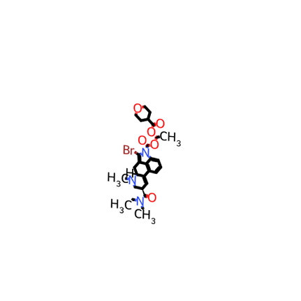 CCN(CC)C(=O)[C@@H]1C=C2c3cccc4c3c(c(Br)n4C(=O)OC(C)OC(=O)C3CCOCC3)C[C@H]2N(C)C1